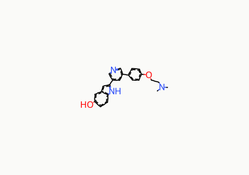 CN(C)CCOc1ccc(-c2cncc(-c3cc4cc(O)ccc4[nH]3)c2)cc1